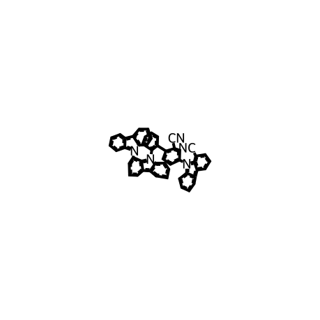 N#Cc1cc(-n2c3ccccc3c3cccc(C#N)c32)ccc1-c1ccccc1-n1c2ccccc2c2cccc(-n3c4ccccc4c4ccccc43)c21